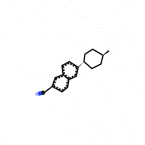 C[C@H]1CC[C@H](c2ccc3cc(C#N)ccc3c2)CC1